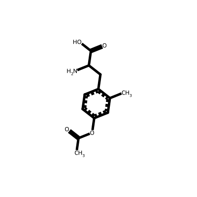 CC(=O)Oc1ccc(CC(N)C(=O)O)c(C)c1